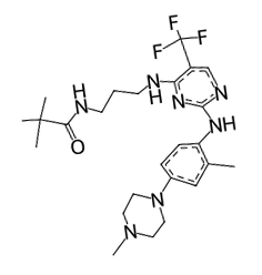 Cc1cc(N2CCN(C)CC2)ccc1Nc1ncc(C(F)(F)F)c(NCCCNC(=O)C(C)(C)C)n1